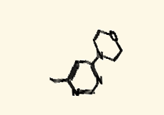 Cc1cc(N2CCOCC2)n[c]n1